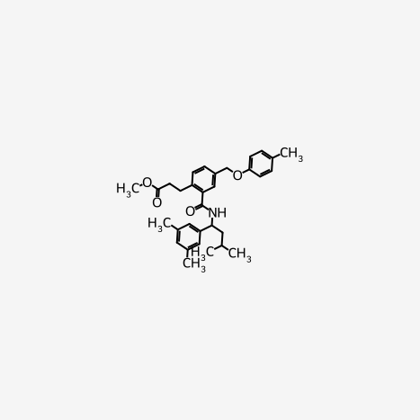 COC(=O)CCc1ccc(COc2ccc(C)cc2)cc1C(=O)NC(CC(C)C)c1cc(C)cc(C)c1